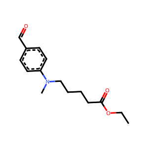 CCOC(=O)CCCCN(C)c1ccc(C=O)cc1